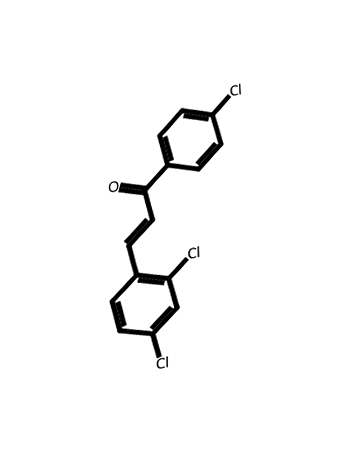 O=C(/C=C/c1ccc(Cl)cc1Cl)c1ccc(Cl)cc1